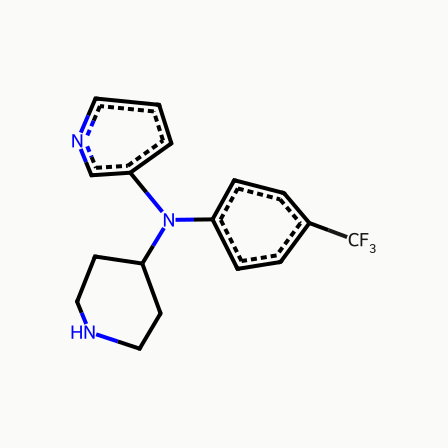 FC(F)(F)c1ccc(N(c2cccnc2)C2CCNCC2)cc1